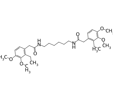 CCc1c(CC(=O)NCCCCCCNC(=O)Cc2ccc(OC)c(OC)c2CC)ccc(OC)c1OC